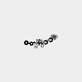 Cc1c(NCC2CCC(c3ccccc3)C2)ncnc1C(=O)N1CCC(N2CCC(N(C)S(C)(=O)=O)CC2)CC1